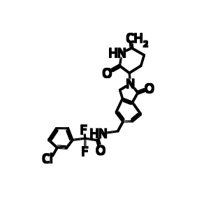 C=C1CCC(N2Cc3cc(CNC(=O)C(F)(F)c4cccc(Cl)c4)ccc3C2=O)C(=O)N1